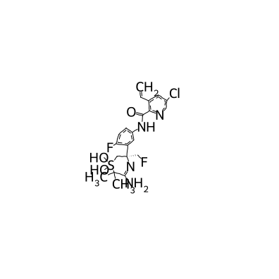 C=Cc1cc(Cl)cnc1C(=O)Nc1ccc(F)c([C@]2(CF)CS(O)(O)C(C)(C)C(N)=N2)c1